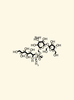 OC[C@@H](O)[C@@H](O)[C@H](O)[C@H](O)C(O)OP1(O[SiH3])(OC[C@H]2O[C@H](O[C@]3(CO)O[C@H](CO)[C@@H](O)[C@@H]3O)[C@H](O)[C@@H](O)[C@@H]2O)OO1.[NaH]